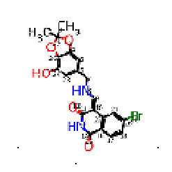 CC1(C)Oc2cc(CNC=C3C(=O)NC(=O)c4ccc(Br)cc43)cc(O)c2O1